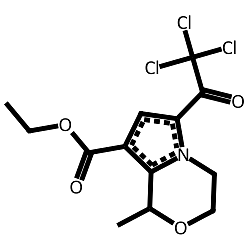 CCOC(=O)c1cc(C(=O)C(Cl)(Cl)Cl)n2c1C(C)OCC2